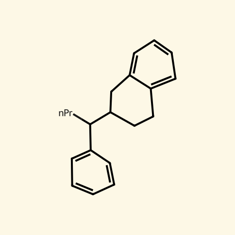 CCCC(c1ccccc1)C1CCc2ccccc2C1